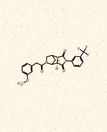 COc1cccc(CC(=O)N2CC3CC2[C@@H]2C(=O)N(c4cccc(C(F)(F)F)c4)C(=O)N32)c1